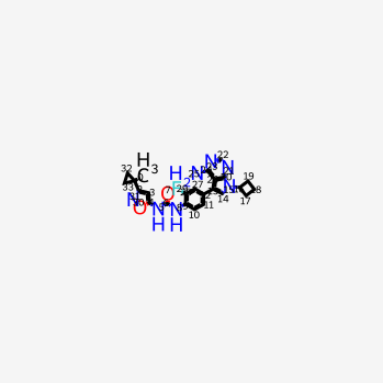 CC1(c2cc(NC(=O)Nc3ccc(-c4cn(C5CCC5)c5ncnc(N)c45)cc3F)on2)CC1